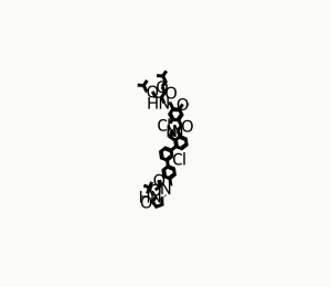 COc1cc(C(=O)n2ncc3c(-c4cccc(-c5ccc(CN(C[C@@H]6CCC(=O)N6)C(=O)OC(C)(C)C)cc5)c4Cl)cccc32)c(Cl)cc1CN[C@@H](COCC(C)C)C(=O)OCC(C)C